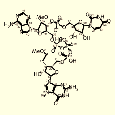 COCC[C@H]1[C@@H](O)[C@H](n2c[n+](C)c3c(=O)[nH]c(N)nc32)O[C@@H]1COP(=O)(O)OP(O)(=S)OP(=O)(O)OC[C@H]1O[C@@H](n2cnc3c(N)ncnc32)[C@H](OC)[C@@H]1OP(=O)([O-])OC[C@H]1O[C@@H](n2ccc(=O)[nH]c2=O)[C@H](O)[C@@H]1O